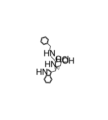 Cl.O=C(O)C[C@@H](Cc1c[nH]c2ccccc12)NCCNCCc1ccccc1